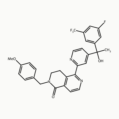 COc1ccc(CN2CCc3c(ccnc3-c3cc(C(C)(O)c4cc(F)cc(C(F)(F)F)c4)ccn3)C2=O)cc1